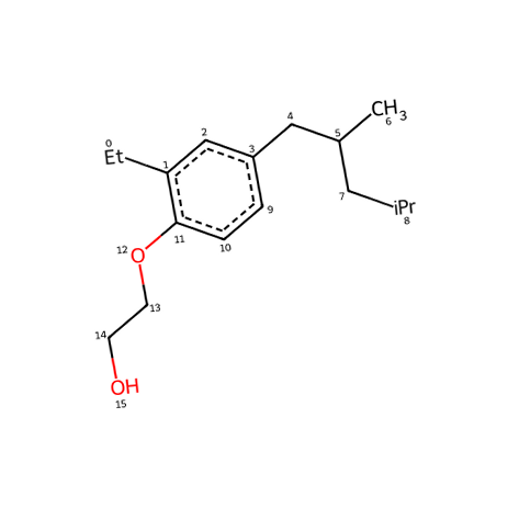 CCc1cc(CC(C)CC(C)C)ccc1OCCO